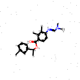 CCN(C)/C=N/c1ccc(C(=O)OC(C)c2cccc(C)c2)c(C)c1C